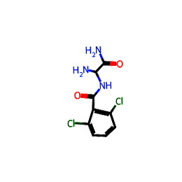 NC(=O)C(N)NC(=O)c1c(Cl)cccc1Cl